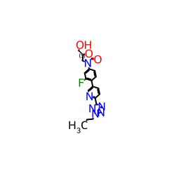 CCCn1nnc(-c2ccc(-c3ccc(N4C[C@@H](CO)OC4=O)cc3F)cn2)n1